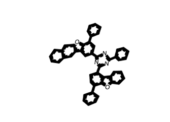 c1ccc(-c2nc(-c3cc(-c4ccccc4)c4oc5cc6ccccc6cc5c4c3)nc(-c3ccc(-c4ccccc4)c4oc5ccccc5c34)n2)cc1